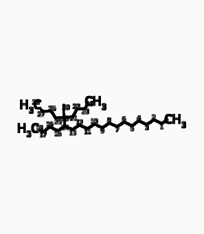 CCCCCCCCCCCCCCC(CCCC)C(I)(CCCC)CCCC